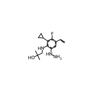 C=Cc1cc(NN)c(NCC(C)(C)O)c(C2CC2)c1F